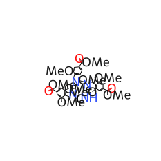 COC(=O)c1cc(OC)c(CN2CCNCCN(Cc3c(OC)cc(C(=O)OC)cc3OC)CCN(Cc3c(OC)cc(C(=O)OC)cc3OC)CC2)c(OC)c1